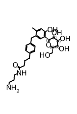 Cc1cc(O)c([C@@H]2O[C@H](CO)[C@@H](O)[C@H](O)[C@H]2O)cc1Cc1ccc(CCCC(=O)NCCCN)cc1